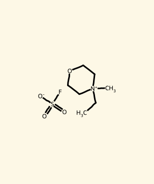 CC[N+]1(C)CCOCC1.O=S(=O)([O-])F